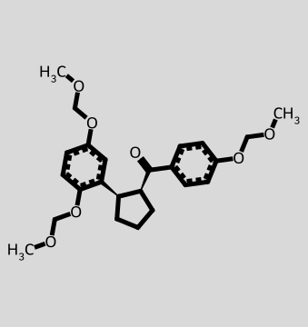 COCOc1ccc(C(=O)[C@H]2CCC[C@H]2c2cc(OCOC)ccc2OCOC)cc1